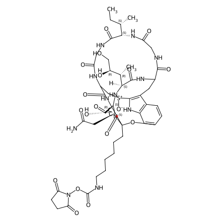 CC[C@H](C)[C@@H]1NC(=O)CNC(=O)C2Cc3c4[nH]c5cc(ccc35)OC(CCCCCCNC(=O)ON3C(=O)CCC3=O)(C(=O)[C@H](CC(N)=O)NC(=O)C(C[S+]4[O-])NC(=O)CNC1=O)N1C[C@H](O)C[C@]1(C=O)N[C@@H]([C@@H](C)[C@@H](O)CO)C(=O)N2